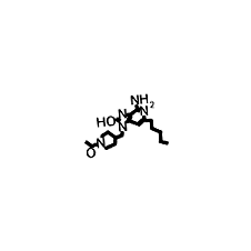 CCCCCc1cc2c(nc(O)n2CC2CCN(C(C)=O)CC2)c(N)n1